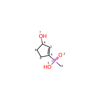 CP(=O)(O)C1=CC(O)CC1